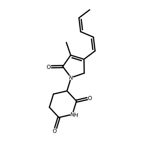 C/C=C\C=C/C1=C(C)C(=O)N(C2CCC(=O)NC2=O)C1